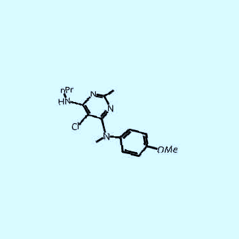 CCCNc1nc(C)nc(N(C)c2ccc(OC)cc2)c1Cl